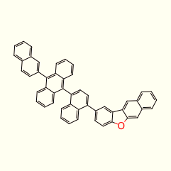 c1ccc2cc(-c3c4ccccc4c(-c4ccc(-c5ccc6oc7cc8ccccc8cc7c6c5)c5ccccc45)c4ccccc34)ccc2c1